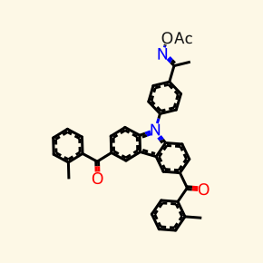 CC(=O)ON=C(C)c1ccc(-n2c3ccc(C(=O)c4ccccc4C)cc3c3cc(C(=O)c4ccccc4C)ccc32)cc1